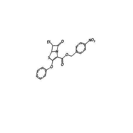 CCC1C(=O)N2C(C(=O)OCc3ccc([N+](=O)[O-])cc3)=C(Oc3ccccc3)SC12